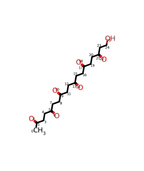 CC(=O)CCC(=O)CCC(=O)CCC(=O)CCC(=O)CCC(=O)CCO